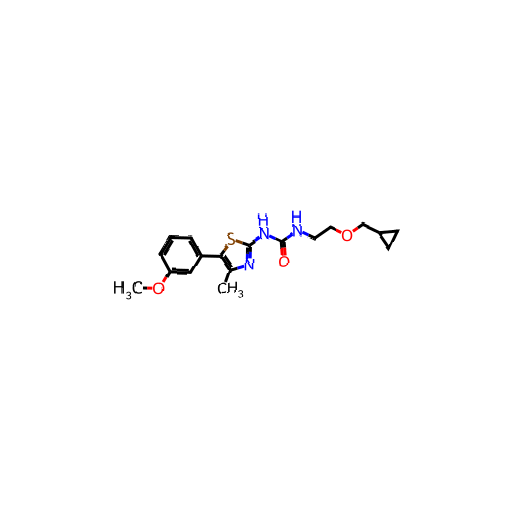 COc1cccc(-c2sc(NC(=O)NCCOCC3CC3)nc2C)c1